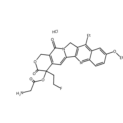 CCOc1ccc2nc3c(c(CC)c2c1)Cn1c-3cc2c(c1=O)COC(=O)C2(CCF)OC(=O)CN.Cl